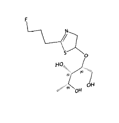 C[C@@H](O)[C@H](O)[C@@H](CO)OC1CN=C(CCCF)S1